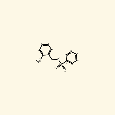 O=[N+]([O-])c1ccccc1COS(=O)(=O)c1ccccc1